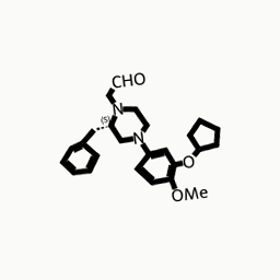 COc1ccc(N2CCN(CC=O)[C@@H](Cc3ccccc3)C2)cc1OC1CCCC1